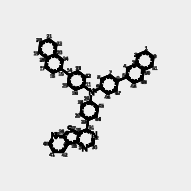 c1ccc2cc(-c3ccc(N(c4ccc(-c5ccc6ccccc6c5)cc4)c4ccc(-c5ncnc6c5sc5ncccc56)cc4)cc3)ccc2c1